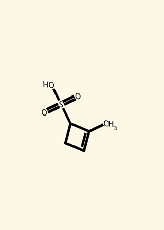 CC1=CCC1S(=O)(=O)O